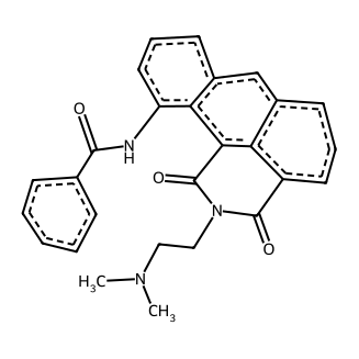 CN(C)CCN1C(=O)c2cccc3cc4cccc(NC(=O)c5ccccc5)c4c(c23)C1=O